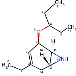 CCC1=C[C@@H](OC(CC)CC)[C@H]2N[C@@H]2C1